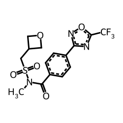 CN(C(=O)c1ccc(-c2noc(C(F)(F)F)n2)cc1)S(=O)(=O)CC1COC1